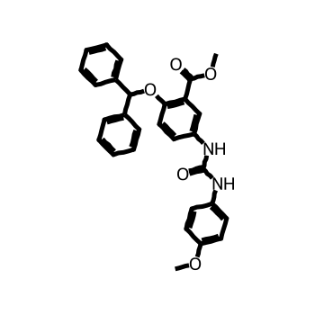 COC(=O)c1cc(NC(=O)Nc2ccc(OC)cc2)ccc1OC(c1ccccc1)c1ccccc1